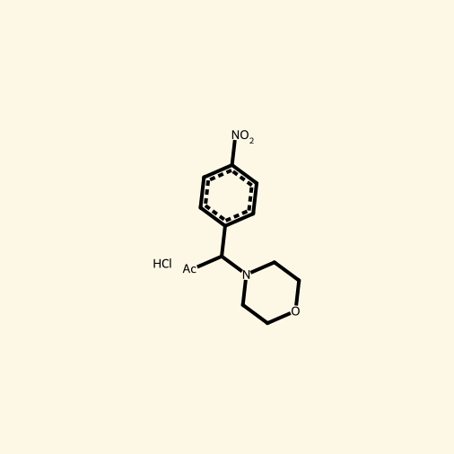 CC(=O)C(c1ccc([N+](=O)[O-])cc1)N1CCOCC1.Cl